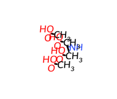 C1CN1.CC(=O)O.CC(=O)O.CC(=O)O.CC(=O)O